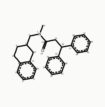 CN(CC1CCc2ccccc2C1)C(=O)CC(c1ccccc1)c1ccccc1